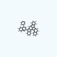 c1cncc(-c2nc(-n3c4ccccc4c4c5c6c7ccccc7ccc6n6c7ccccc7c(cc43)c56)nc3ccccc23)c1